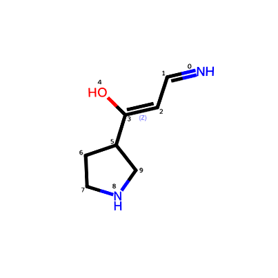 N=C/C=C(\O)C1CCNC1